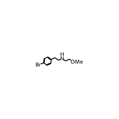 COCCNCCc1ccc(Br)cc1